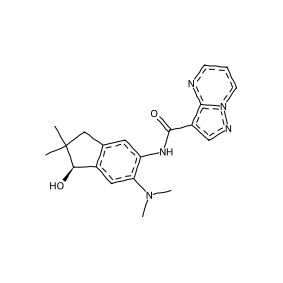 CN(C)c1cc2c(cc1NC(=O)c1cnn3cccnc13)CC(C)(C)[C@@H]2O